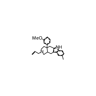 C=CCN1CCC2(c3cccc(OC)c3)Cc3[nH]c4ccc(C)cc4c3CC2C1